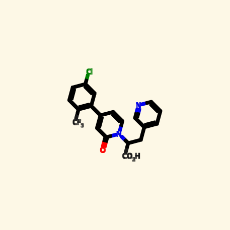 O=C(O)C(Cc1cccnc1)n1ccc(-c2cc(Cl)ccc2C(F)(F)F)cc1=O